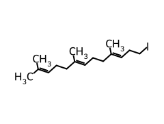 CC(C)=CCC/C(C)=C/CC/C(C)=C/CCI